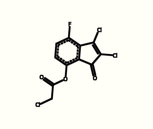 O=C(CCl)Oc1ccc(F)c2c1C(=O)C(Cl)=C2Cl